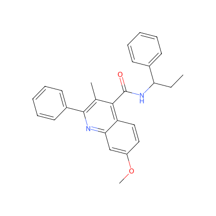 CCC(NC(=O)c1c(C)c(-c2ccccc2)nc2cc(OC)ccc12)c1ccccc1